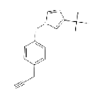 C#CCc1ccc(Sn2cnc(C(F)(F)F)c2)cc1